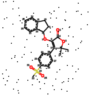 CC1(C)OC(=O)C(OC2CCc3ccccc32)=C1c1ccc(S(C)(=O)=O)cc1